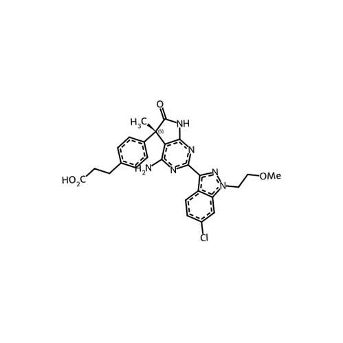 COCCn1nc(-c2nc(N)c3c(n2)NC(=O)[C@@]3(C)c2ccc(CCC(=O)O)cc2)c2ccc(Cl)cc21